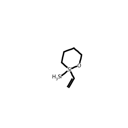 C=C[Si]1([SiH3])CCCCO1